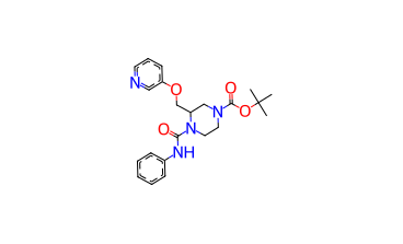 CC(C)(C)OC(=O)N1CCN(C(=O)Nc2ccccc2)C(COc2cccnc2)C1